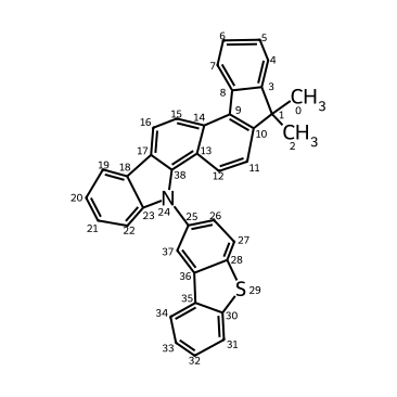 CC1(C)c2ccccc2-c2c1ccc1c2ccc2c3ccccc3n(-c3ccc4sc5ccccc5c4c3)c12